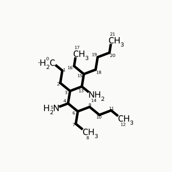 [CH2]CCC(C(N)C(CC)CCCC)C(N)C(CC)CCCC